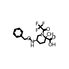 C[C@@]1(C(=O)O)CC[C@@H](NOCc2ccccc2)CN1C(=O)C(F)(F)F